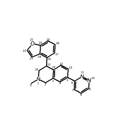 CN1Cc2cc(-c3cccnn3)ccc2C(c2cccc3occc23)C1